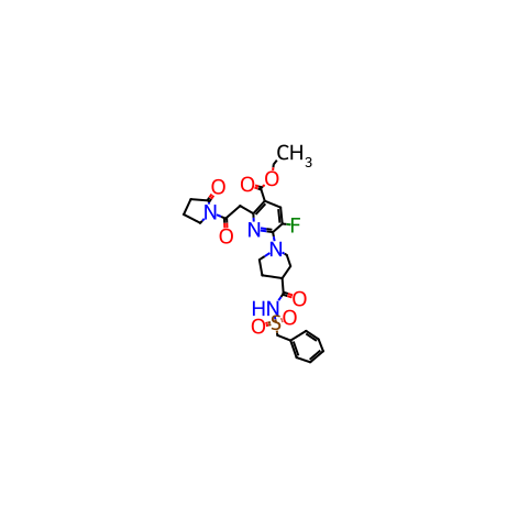 CCOC(=O)c1cc(F)c(N2CCC(C(=O)NS(=O)(=O)Cc3ccccc3)CC2)nc1CC(=O)N1CCCC1=O